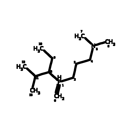 C=[PH](CCCN(C)C)C(CC)C(C)C